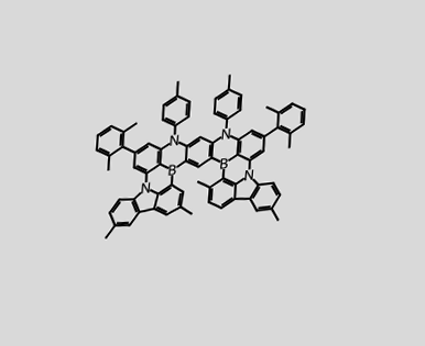 Cc1ccc(N2c3cc4c(cc3B3c5c2cc(-c2c(C)cccc2C)cc5-n2c5ccc(C)cc5c5cc(C)cc3c52)B2c3c(cc(-c5c(C)cccc5C)cc3-n3c5ccc(C)cc5c5ccc(C)c2c53)N4c2ccc(C)cc2)cc1